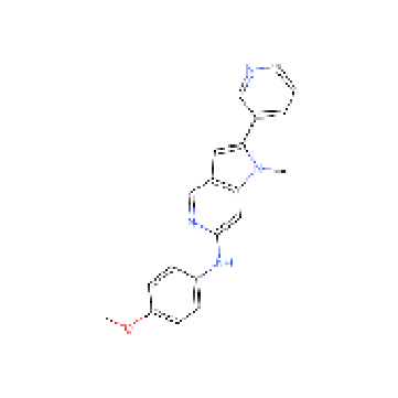 COc1ccc(Nc2cc3c(cn2)cc(-c2cccnc2)n3C)cc1